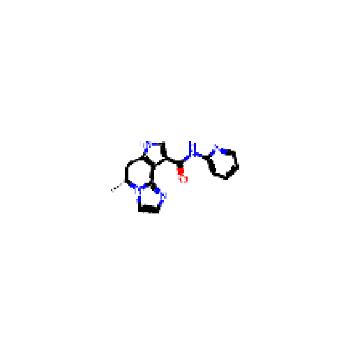 C[C@@H]1Cc2[nH]cc(C(=O)Nc3ccccn3)c2-c2nccn21